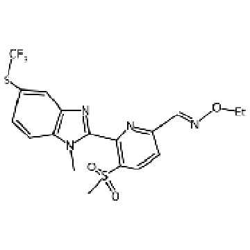 CCO/N=C/c1ccc(S(C)(=O)=O)c(-c2nc3cc(SC(F)(F)F)ccc3n2C)n1